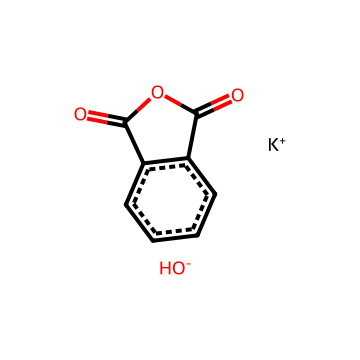 O=C1OC(=O)c2ccccc21.[K+].[OH-]